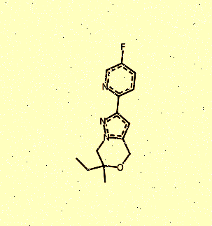 CCC1(C)Cn2nc(-c3ccc(F)cn3)cc2CO1